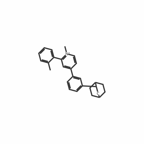 Cc1ccccc1-c1cc(-c2cccc(C3CC4CCC3CC4)c2)cc[n+]1C